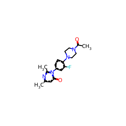 CC(=O)N1CCN(c2ccc(-n3c(C)nc(C)cc3=O)cc2F)CC1